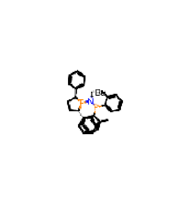 CCCCN(P(c1ccccc1C)c1ccccc1C)P1[C@H](c2ccccc2)CC[C@H]1c1ccccc1